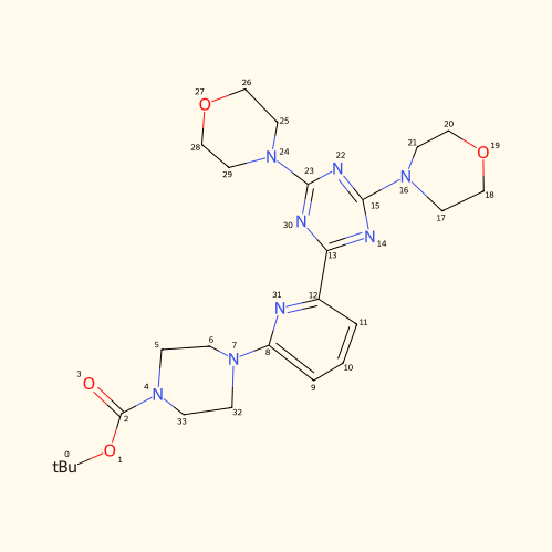 CC(C)(C)OC(=O)N1CCN(c2cccc(-c3nc(N4CCOCC4)nc(N4CCOCC4)n3)n2)CC1